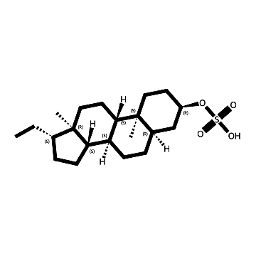 CC[C@H]1CC[C@H]2[C@@H]3CC[C@@H]4C[C@H](OS(=O)(=O)O)CC[C@]4(C)[C@H]3CC[C@]12C